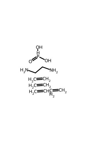 C=C.C=C.C=C.C=C.NCCN.O=[PH](O)O